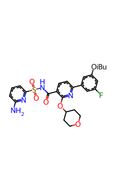 CC(C)COc1cc(F)cc(-c2ccc(C(=O)NS(=O)(=O)c3cccc(N)n3)c(OC3CCOCC3)n2)c1